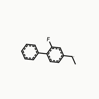 C[CH]c1ccc(-c2ccccc2)c(F)c1